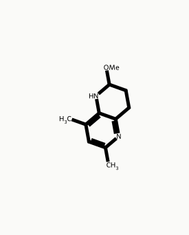 COC1CCc2nc(C)cc(C)c2N1